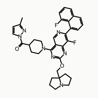 Cc1ccn(C(=O)C2CCN(c3nc(OCC45CCCN4CCC5)nc4c(F)c(-c5cccc6cccc(F)c56)ncc34)CC2)n1